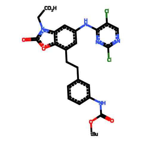 CC(C)(C)OC(=O)Nc1cccc(CCc2cc(Nc3nc(Cl)ncc3Cl)cc3c2oc(=O)n3CC(=O)O)c1